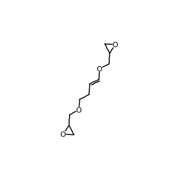 C(=COCC1CO1)CCOCC1CO1